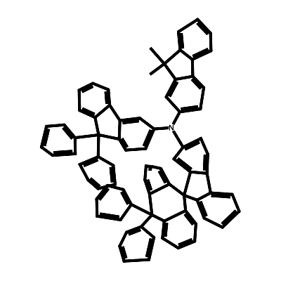 CC1(C)c2ccccc2-c2ccc(N(c3ccc4c(c3)-c3ccccc3C4(c3ccccc3)c3ccccc3)c3ccc4c(c3)C3(c5ccccc5-4)c4ccccc4C(c4ccccc4)(c4ccccc4)c4ccccc43)cc21